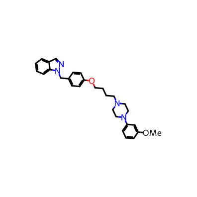 COc1cccc(N2CCN(CCCCOc3ccc(Cn4ncc5ccccc54)cc3)CC2)c1